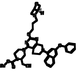 CC(C)(C)OC(=O)N1CCN(c2nc(OCCCN3CC4OC[C@H]43)nc3c2CCN(c2cc(Oc4ccccc4)cc4ccccc24)C3)CC1CC#N